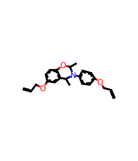 C=CCOc1ccc(N2C(C)Oc3ccc(OCC=C)cc3C2C)cc1